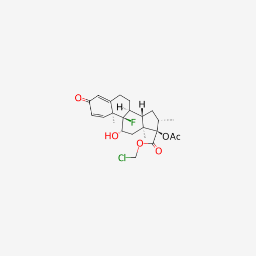 CC(=O)O[C@]1(C(=O)OCCl)[C@@H](C)C[C@H]2[C@@H]3CCC4=CC(=O)C=C[C@]4(C)[C@@]3(F)[C@@H](O)C[C@@]21C